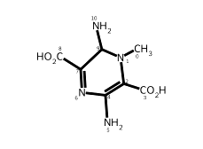 CN1C(C(=O)O)=C(N)N=C(C(=O)O)C1N